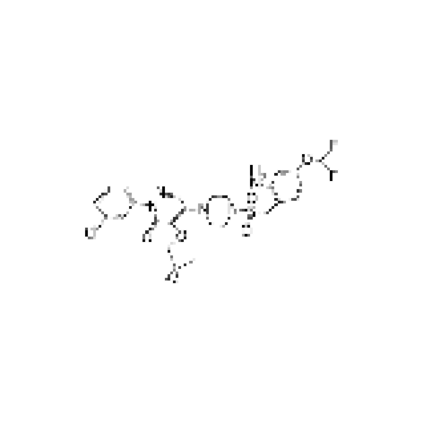 CC1(COc2c(N3CCN(S(=O)(=O)Cc4ccc(OC(F)F)cc4N)CC3)cnn(-c3cccc(Cl)c3)c2=O)CC1